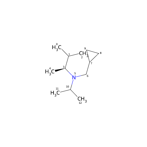 CC(C)[C@H](C)N(CC1CC1)C(C)C